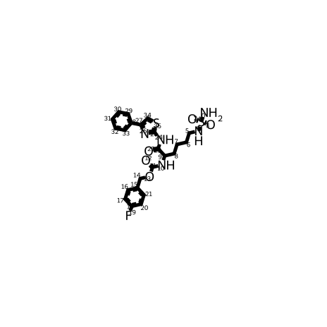 NS(=O)(=O)NCCCCC(NC(=O)OCc1ccc(F)cc1)C(=O)Nc1nc(-c2ccccc2)cs1